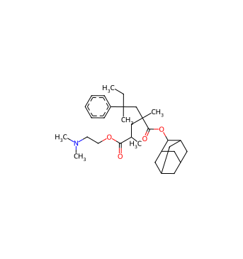 CCC(C)(CC(C)(CC(C)C(=O)OCCN(C)C)C(=O)OC1C2CC3CC(C2)CC1C3)c1ccccc1